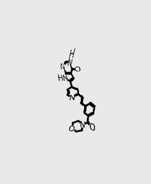 O=C(c1cccc(C=Cc2cc(-c3cc4c(=O)[nH]cnc4[nH]3)ccn2)c1)N1CCOCC1